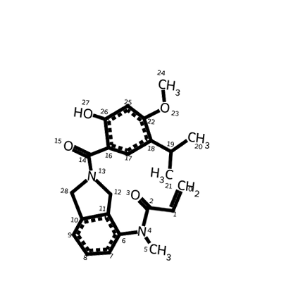 C=CC(=O)N(C)c1cccc2c1CN(C(=O)c1cc(C(C)C)c(OC)cc1O)C2